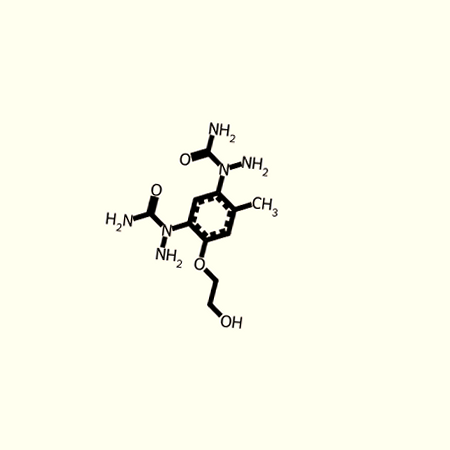 Cc1cc(OCCO)c(N(N)C(N)=O)cc1N(N)C(N)=O